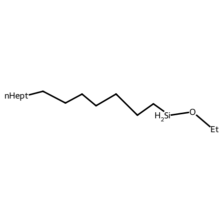 CCCCCCCCCCCCCC[SiH2]OCC